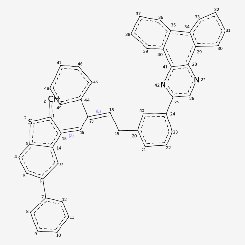 C=c1sc2ccc(-c3ccccc3)cc2/c1=C/C(=C\Cc1cccc(-c2cnc3c4ccccc4c4ccccc4c3n2)c1)c1ccccc1